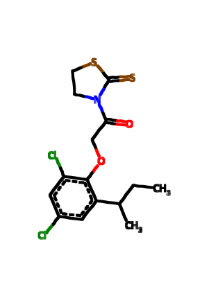 CCC(C)c1cc(Cl)cc(Cl)c1OCC(=O)N1CCSC1=S